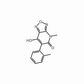 Cc1ccccc1-c1c(O)c2nonc2n(C)c1=O